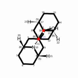 O/N=C1/C[C@H]2CCC[C@@H](C1)N2[C@H]1C[C@@H]2CCC[C@@H](C2)C1